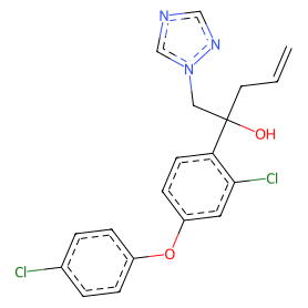 C=CCC(O)(Cn1cncn1)c1ccc(Oc2ccc(Cl)cc2)cc1Cl